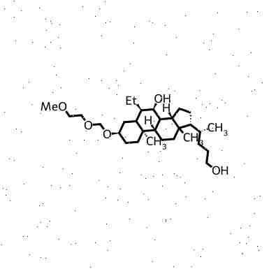 CC[C@@H]1C2C[C@H](OCOCCOC)CC[C@]2(C)[C@H]2CCC3(C)[C@@H]([C@H](C)CCCO)CC[C@H]3C2[C@@H]1O